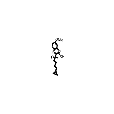 COC1=Cc2nc(O)c(C(F)(F)CCCCC3CC3)nc2CC1